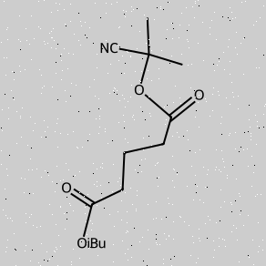 CC(C)COC(=O)CCCC(=O)OC(C)(C)C#N